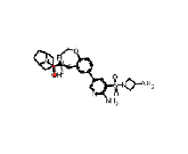 Nc1ncc(-c2ccc3c(c2)CN(C(=O)N2C4CCC2CC(O)(C(F)(F)F)C4)CCO3)cc1S(=O)(=O)N1CC(N)C1